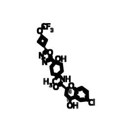 CC1(NC(=O)[C@@H]2C[C@H](O)c3cc(Cl)ccc3O2)CCC(O)(c2nnc([C@H]3C[C@@H](OC(F)(F)F)C3)o2)CC1